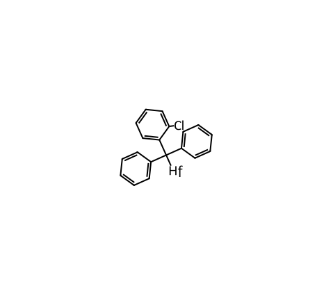 Clc1ccccc1[C]([Hf])(c1ccccc1)c1ccccc1